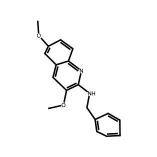 COc1ccc2nc(NCc3ccccc3)c(OC)cc2c1